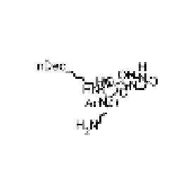 C=C1NC(=O)C=CN1[C@@H]1O[C@H]([C@H]2O[C@H](CCCN)N(C(C)=O)[C@@H]2C(=O)NCCCCCCCCCCCCCCCC)C(O)C1O